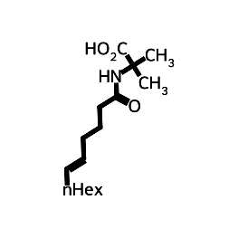 CCCCCCC=CCCCC(=O)NC(C)(C)C(=O)O